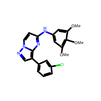 COc1cc(Nc2ccn3ncc(-c4cccc(Cl)c4)c3n2)cc(OC)c1OC